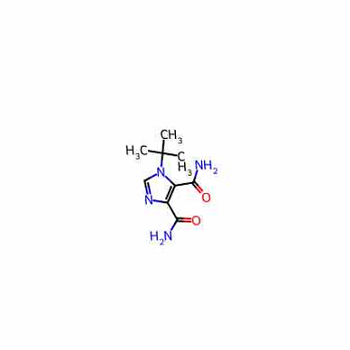 CC(C)(C)n1cnc(C(N)=O)c1C(N)=O